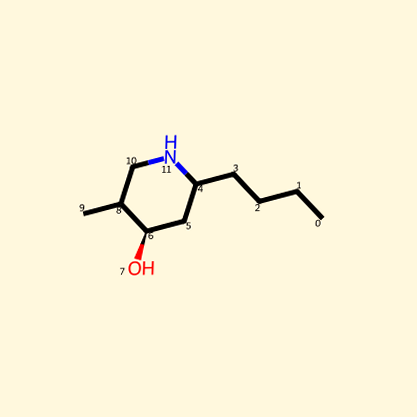 CCCCC1C[C@@H](O)C(C)CN1